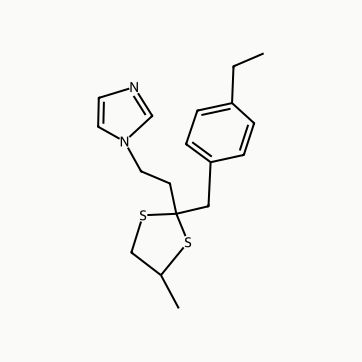 CCc1ccc(CC2(CCn3ccnc3)SCC(C)S2)cc1